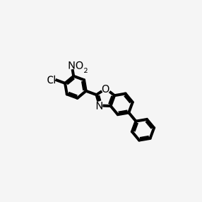 O=[N+]([O-])c1cc(-c2nc3cc(-c4ccccc4)ccc3o2)ccc1Cl